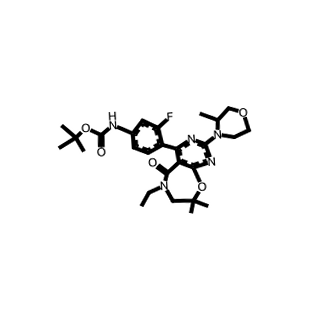 CCN1CC(C)(C)Oc2nc(N3CCOCC3C)nc(-c3ccc(NC(=O)OC(C)(C)C)cc3F)c2C1=O